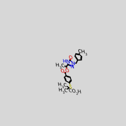 Cc1ccc(Cn2nc([C@H](C)OC(=O)c3ccc(SC(C)(C)C(=O)O)cc3)[nH]c2=O)cc1